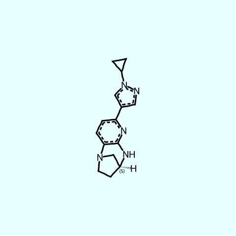 c1nn(C2CC2)cc1-c1ccc2c(n1)N[C@H]1CCN2C1